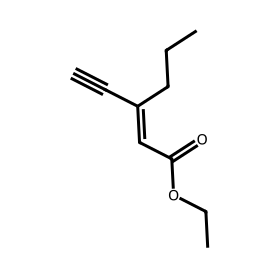 C#C/C(=C/C(=O)OCC)CCC